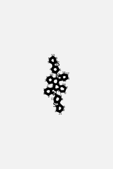 C1=CC2=c3c(c4ccccc4n3-c3ccc4c(c3)sc3ccccc34)=C3c4ccccc4-c4c(c5ccccc5n4-c4ccc5c(c4)sc4ccccc45)C3C2C=C1